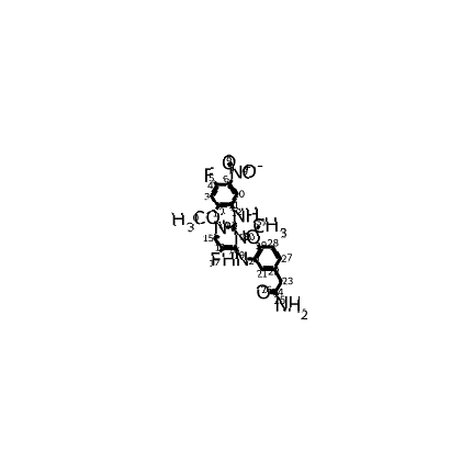 COc1cc(F)c([N+](=O)[O-])cc1Nc1ncc(F)c(Nc2cc(CC(N)=O)ccc2OC)n1